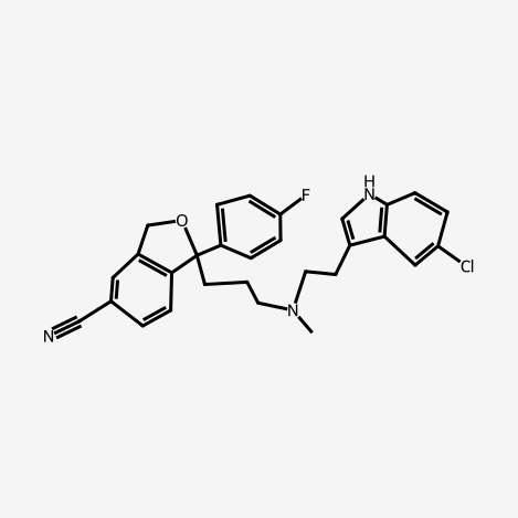 CN(CCCC1(c2ccc(F)cc2)OCc2cc(C#N)ccc21)CCc1c[nH]c2ccc(Cl)cc12